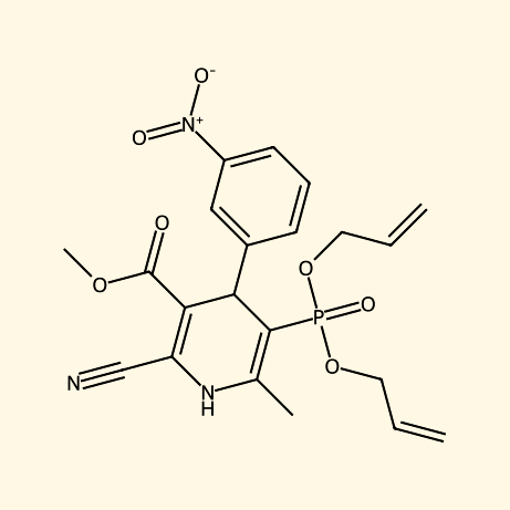 C=CCOP(=O)(OCC=C)C1=C(C)NC(C#N)=C(C(=O)OC)C1c1cccc([N+](=O)[O-])c1